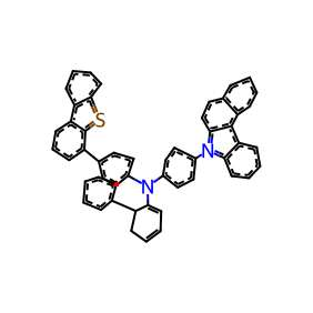 C1=CCC(c2ccccc2)C(N(c2ccc(-c3cccc4c3sc3ccccc34)cc2)c2ccc(-n3c4ccccc4c4c5ccccc5ccc43)cc2)=C1